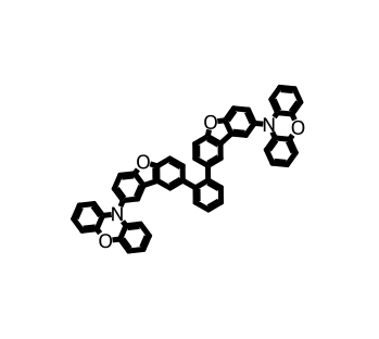 c1ccc2c(c1)Oc1ccccc1N2c1ccc2oc3ccc(-c4ccccc4-c4ccc5oc6ccc(N7c8ccccc8Oc8ccccc87)cc6c5c4)cc3c2c1